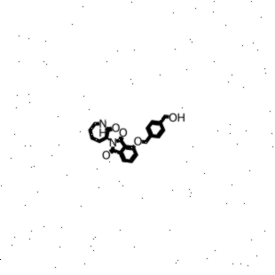 O=C1NCCCC[C@@H]1N1C(=O)c2cccc(OCc3ccc(CO)cc3)c2C1=O